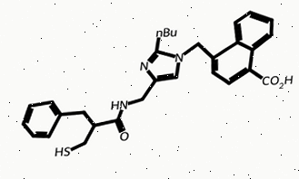 CCCCc1nc(CNC(=O)C(CS)Cc2ccccc2)cn1Cc1ccc(C(=O)O)c2ccccc12